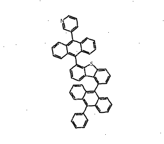 c1ccc(-c2c3ccccc3c(-c3cccc4sc5c(-c6c7ccccc7c(-c7cccnc7)c7ccccc67)cccc5c34)c3ccccc23)cc1